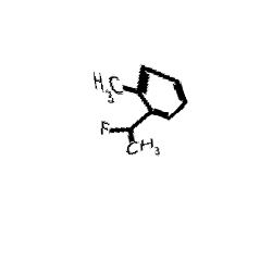 Cc1ccccc1C(C)F